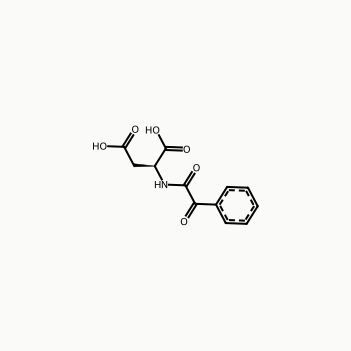 O=C(O)C[C@H](NC(=O)C(=O)c1ccccc1)C(=O)O